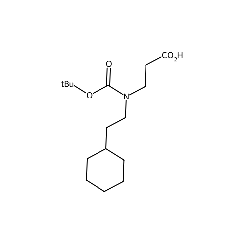 CC(C)(C)OC(=O)N(CCC(=O)O)CCC1CCCCC1